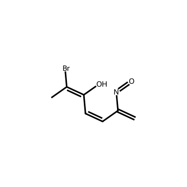 C=C(/C=C\C(O)=C(/C)Br)N=O